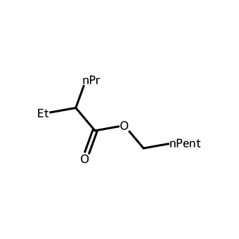 CCCCCCOC(=O)C(CC)CCC